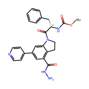 CC(C)(C)OC(=O)N[C@@H](Cc1ccccc1)C(=O)N1CCc2c(C(=O)NN)cc(-c3ccncc3)cc21